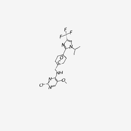 COc1cnc(Cl)nc1NCC12CCC(c3nc(C(F)(F)F)cn3C(C)C)(CC1)OC2